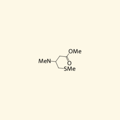 CNC(CSC)CC(=O)OC